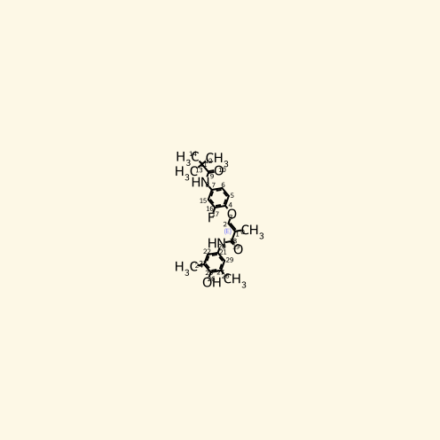 C/C(=C\Oc1ccc(NC(=O)C(C)(C)C)cc1F)C(=O)Nc1cc(C)c(O)c(C)c1